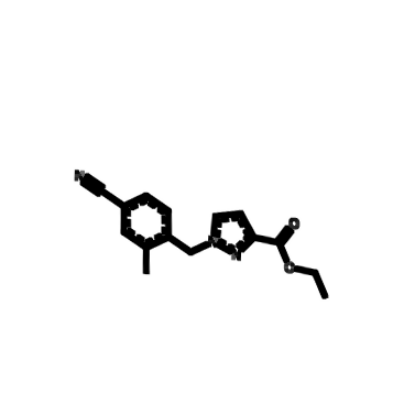 CCOC(=O)c1ccn(Cc2ccc(C#N)cc2C)n1